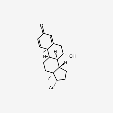 CC(=O)[C@H]1CC[C@H]2[C@@H]3[C@@H](O)CC4=CC(=O)C=C[C@]4(C)[C@H]3CC[C@]12C